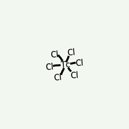 [Cl][Tc]([Cl])([Cl])([Cl])([Cl])[Cl]